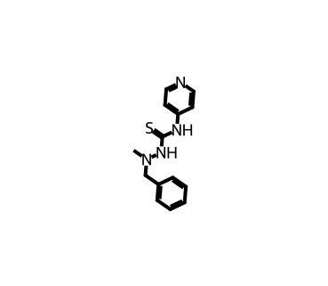 CN(Cc1ccccc1)NC(=S)Nc1ccncc1